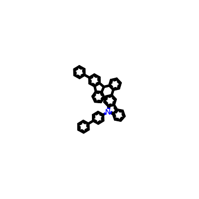 c1ccc(-c2ccc(-n3c4ccccc4c4cc(-c5ccccc5C5c6ccccc6-c6cc(-c7ccccc7)ccc65)ccc43)cc2)cc1